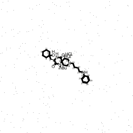 CCCCN1C(=O)[C@@H](CC2(O)CCCCC2)NC(=O)C12CCN(CCCCNc1ccccc1)CC2.Cl.Cl